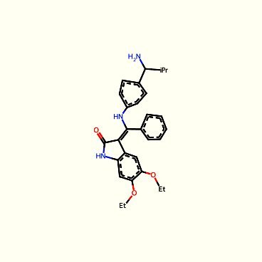 CCOc1cc2c(cc1OCC)/C(=C(/Nc1ccc(C(N)C(C)C)cc1)c1ccccc1)C(=O)N2